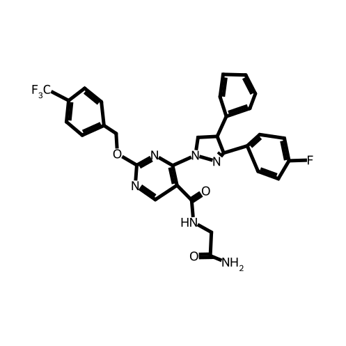 NC(=O)CNC(=O)c1cnc(OCc2ccc(C(F)(F)F)cc2)nc1N1CC(c2ccccc2)C(c2ccc(F)cc2)=N1